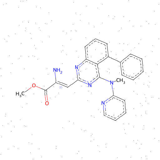 COC(=O)/C(N)=C/c1nc(N(C)c2ccccn2)c2c(-c3ccccc3)cccc2n1